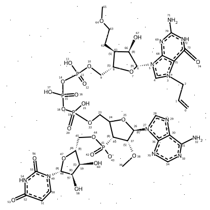 C=CC[n+]1cn([C@@H]2O[C@H](COP(=O)(O)OP(=O)(O)OP(=O)(O)OCC3O[C@@H](n4cnc5c(N)ncnc54)[C@H](OC)[C@@H]3P(=O)([O-])OC[C@H]3O[C@@H](n4ccc(=O)[nH]c4=O)[C@H](O)[C@@H]3O)[C@@H](CCOC)[C@H]2O)c2nc(N)[nH]c(=O)c21